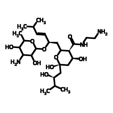 CC(C)/C=C/[C@@H](CC1O[C@](O)(C[C@@H](O)C(C)C)C[C@H](O)[C@H]1C(=O)NCCN)OC1OC(C)C(O)C(N)C1O